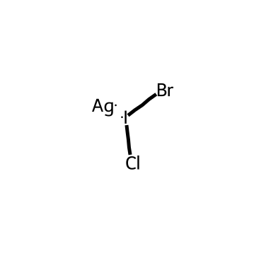 Cl[I]Br.[Ag]